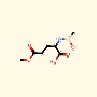 COC(=O)CCC(NB(C)O)C(=O)O